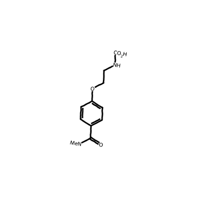 CNC(=O)c1ccc(OCCNC(=O)O)cc1